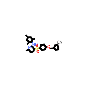 Cc1cc(C)c(Nc2nc(C)ccc2S(=O)(=O)c2ccc(OCc3cccc(C#N)c3)cc2)c(C)c1